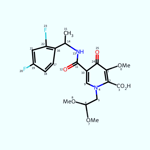 COc1c(C(=O)O)n(CC(OC)OC)cc(C(=O)NC(C)c2ccc(F)cc2F)c1=O